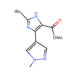 COC(=O)c1[nH]c(C(C)(C)C)nc1-c1cnn(C)c1